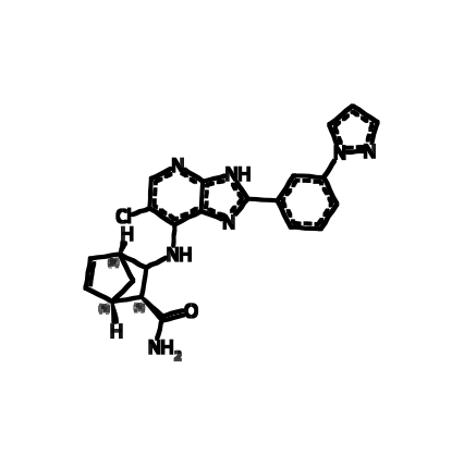 NC(=O)[C@@H]1C(Nc2c(Cl)cnc3[nH]c(-c4cccc(-n5cccn5)c4)nc23)[C@H]2C=C[C@@H]1C2